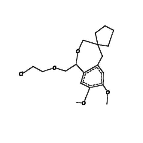 COc1cc2c(cc1OC)C(COCCCl)OCC1(CCCC1)C2